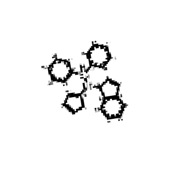 C1=CC[C]([Hf]([CH]2C=Cc3ccccc32)[SnH]([c]2ccccc2)[c]2ccccc2)=C1